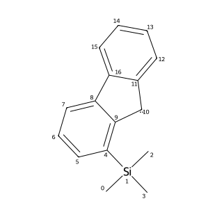 C[Si](C)(C)c1cccc2c1[C]c1ccccc1-2